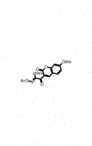 CCCCCC/C(=N\OC(C)=O)C(=O)c1cc2ccc(OC)cc2oc1=O